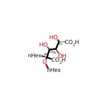 CCCCCCO[C@@](CCCCCC)(C(=O)O)[C@@H](O)[C@H](O)[C@H](O)C(=O)O